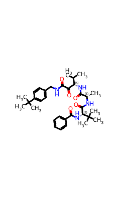 CC(C)[C@H](NC(=O)[C@H](C)NC(=O)[C@@H](NC(=O)c1ccccc1)C(C)(C)C)C(=O)C(=O)NCc1ccc(C(C)(C)C)cc1